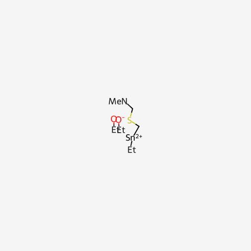 CC[O-].CC[O-].C[CH2][Sn+2][CH2]SCNC